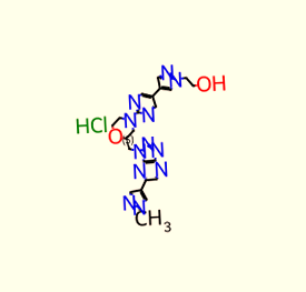 Cl.Cn1cc(-c2cnc3nnn(C[C@@H]4CN(c5ncc(-c6cnn(CCO)c6)cn5)CCO4)c3n2)cn1